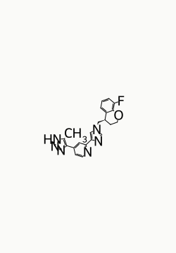 Cc1[nH]nnc1-c1ccnc(-c2cn(C[C@@H]3CCOc4c(F)cccc43)cn2)c1